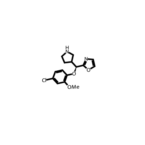 COc1cc(Cl)ccc1O[C@H](c1ncco1)C1CCNC1